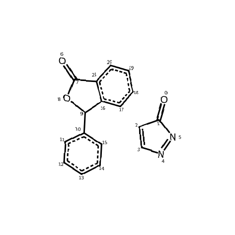 O=C1C=CN=N1.O=C1OC(c2ccccc2)c2ccccc21